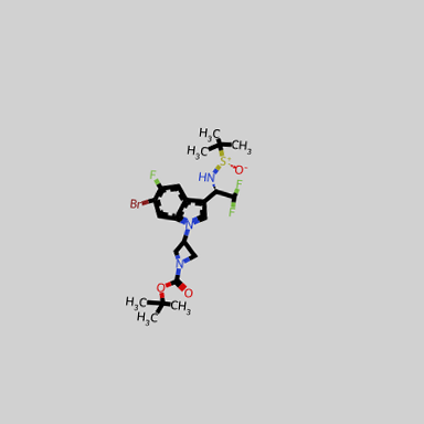 CC(C)(C)OC(=O)N1CC(n2cc([C@H](N[S@@+]([O-])C(C)(C)C)C(F)F)c3cc(F)c(Br)cc32)C1